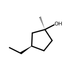 CC[C@@H]1CC[C@](C)(O)C1